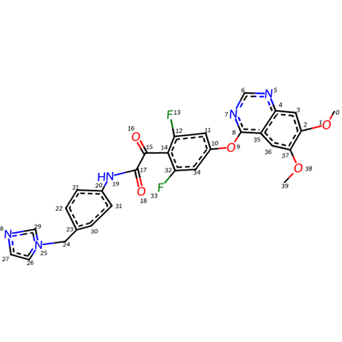 COc1cc2ncnc(Oc3cc(F)c(C(=O)C(=O)Nc4ccc(Cn5ccnc5)cc4)c(F)c3)c2cc1OC